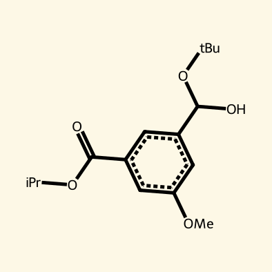 COc1cc(C(=O)OC(C)C)cc(C(O)OC(C)(C)C)c1